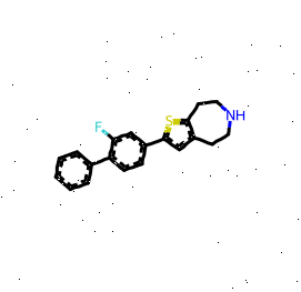 Fc1cc(-c2cc3c(s2)CCNCC3)ccc1-c1ccccc1